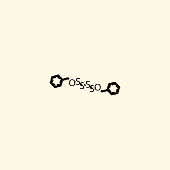 c1ccc(COSSSSOCc2ccccc2)cc1